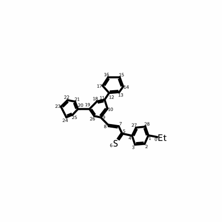 CCc1ccc(C(=S)C=Cc2cc(-c3ccccc3)cc(-c3ccccc3)c2)cc1